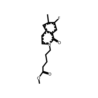 COC(=O)CCCCn1ccc2cc(C)c(F)cc2c1=O